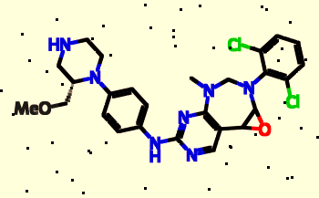 COC[C@@H]1CNCCN1c1ccc(Nc2ncc3c(n2)N(C)CN(c2c(Cl)cccc2Cl)C2OC32)cc1